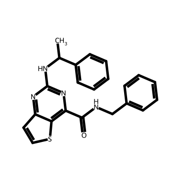 CC(Nc1nc(C(=O)NCc2ccccc2)c2sccc2n1)c1ccccc1